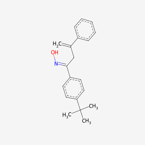 C=C(CC(=NO)c1ccc(C(C)(C)C)cc1)c1ccccc1